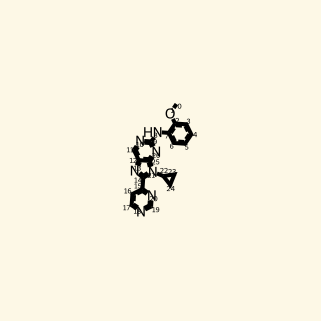 COc1ccccc1Nc1ncc2nc(-c3ccncn3)n(C3CC3)c2n1